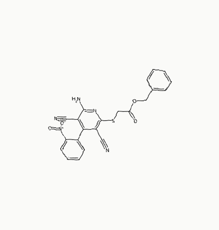 N#Cc1c(N)nc(SCC(=O)OCc2ccccc2)c(C#N)c1-c1ccccc1[N+](=O)[O-]